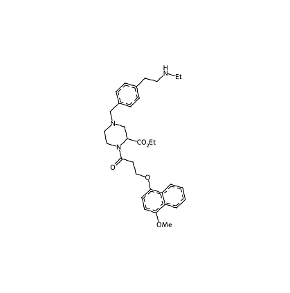 CCNCCc1ccc(CN2CCN(C(=O)CCOc3ccc(OC)c4ccccc34)C(C(=O)OCC)C2)cc1